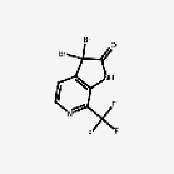 O=C1Nc2c(ccnc2C(F)(F)F)C1(Br)Br